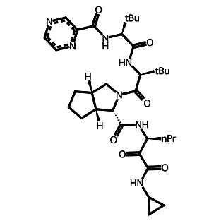 CCC[C@H](NC(=O)[C@@H]1[C@@H]2CCC[C@@H]2CN1C(=O)[C@@H](NC(=O)[C@@H](NC(=O)c1cnccn1)C(C)(C)C)C(C)(C)C)C(=O)C(=O)NC1CC1